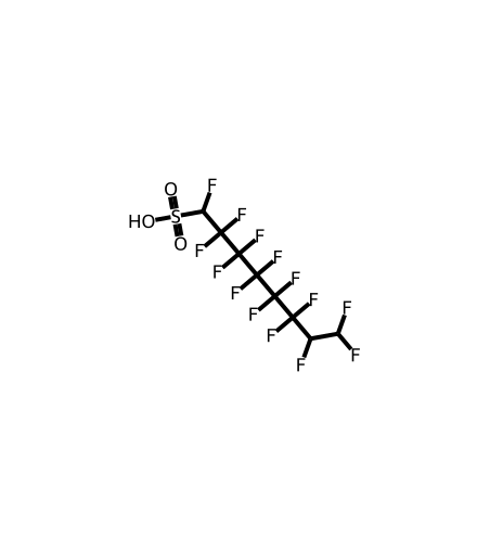 O=S(=O)(O)C(F)C(F)(F)C(F)(F)C(F)(F)C(F)(F)C(F)(F)C(F)C(F)F